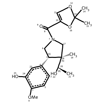 COc1ccc([C@@H]2CN(C(=O)C3=COC(C)(C)O3)C[C@@]2(C)[C@@H](C)O)cc1O